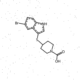 O=C(O)N1CCC(Sc2c[nH]c3ccc(Br)cc23)CC1